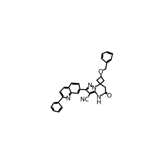 N#Cc1c(-c2ccc3ccc(-c4ccccc4)nc3c2)nn2c1NC(=O)CC21CC(OCc2ccccc2)C1